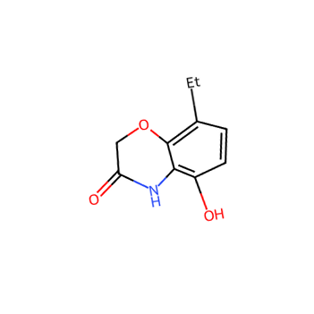 CCc1ccc(O)c2c1OCC(=O)N2